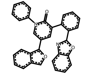 O=c1c(-c2ccccc2-c2nc3ccccc3o2)cc(-c2occ3ccccc23)cn1-c1ccccc1